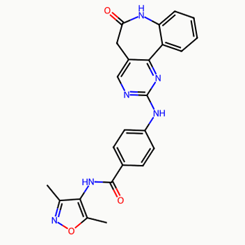 Cc1noc(C)c1NC(=O)c1ccc(Nc2ncc3c(n2)-c2ccccc2NC(=O)C3)cc1